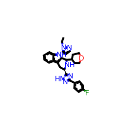 CCn1cc([C@]2(C3CCOCC3)N[C@@H](c3nc(-c4ccc(F)cc4)n[nH]3)Cc3c2[nH]c2ccccc32)cn1